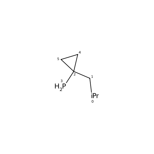 CC(C)CC1(P)CC1